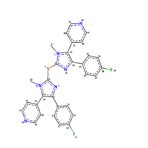 Cn1c(Sc2nc(-c3ccc(F)cc3)c(-c3ccncc3)n2C)nc(-c2ccc(F)cc2)c1-c1ccncc1